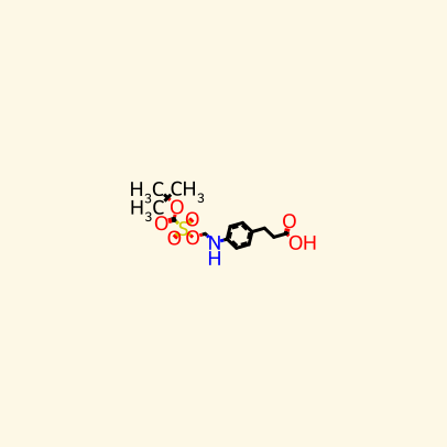 CC(C)(C)OC(=O)S(=O)(=O)OCNc1ccc(CCC(=O)O)cc1